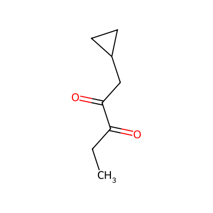 CCC(=O)C(=O)CC1CC1